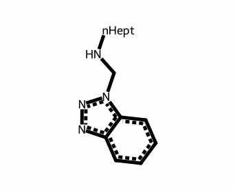 CCCCCCCNCn1nnc2ccccc21